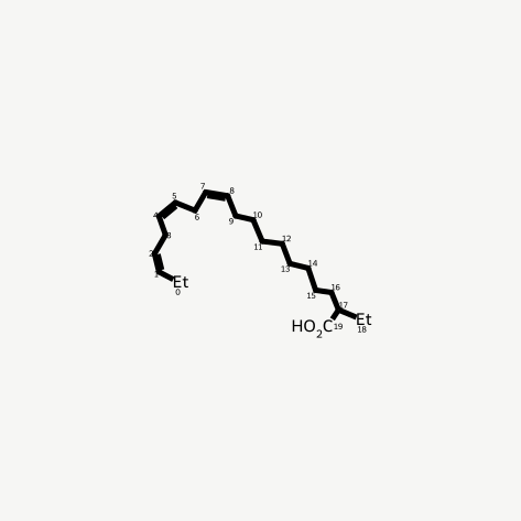 CC/C=C\C/C=C\C/C=C\CCCCCCCCC(CC)C(=O)O